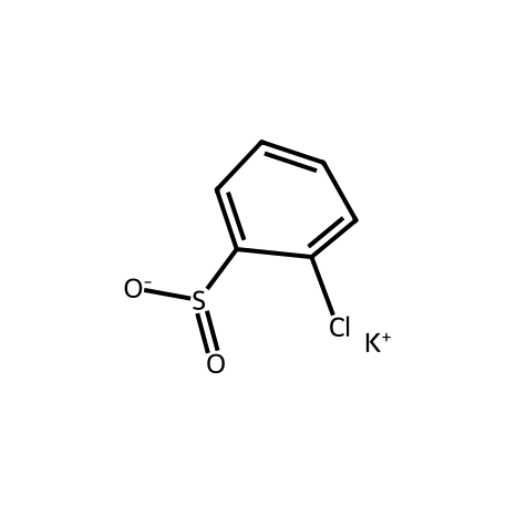 O=S([O-])c1ccccc1Cl.[K+]